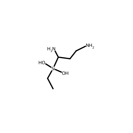 CC[Si](O)(O)C(N)CCN